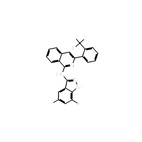 Fc1cc(F)c2[nH]nc(Nc3nc(-c4ccccc4C(F)(F)F)cc4ccccc34)c2c1